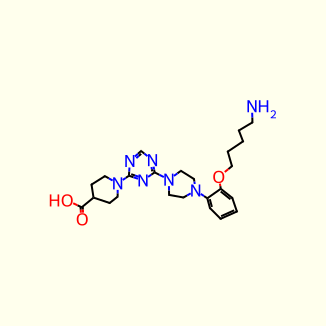 NCCCCCOc1ccccc1N1CCN(c2ncnc(N3CCC(C(=O)O)CC3)n2)CC1